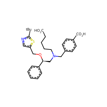 CC(C)(C)c1ncc(CO[C@@H](CN(CCCCC(=O)O)Cc2ccc(C(=O)O)cc2)c2ccccc2)s1